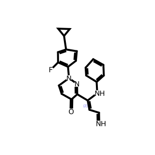 N=C/C=C(\Nc1ccccc1)c1nn(-c2ccc(C3CC3)cc2F)ccc1=O